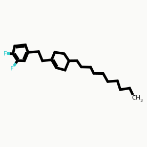 CCCCCCCCCCC1CC=C(CCc2ccc(F)c(F)c2)CC1